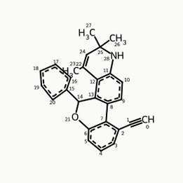 C#Cc1cccc2c1-c1ccc3c(c1C(c1ccccc1)O2)C(C)=CC(C)(C)N3